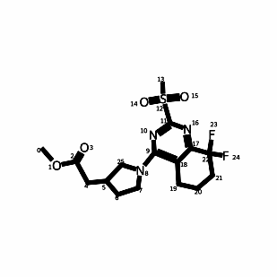 COC(=O)CC1CCN(c2nc(S(C)(=O)=O)nc3c2CCCC3(F)F)C1